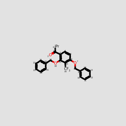 CC(C)C(=O)c1ccc(OCc2ccccc2)c(C(F)(F)F)c1OCc1ccccc1